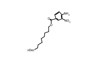 CCCCCCCCCCCCCCCCCCOC(=O)c1ccc(N)c([N+](=O)[O-])c1